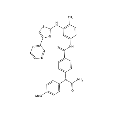 COc1ccc(N(C(N)=O)c2ccc(C(=O)Nc3ccc(C)c(Nc4nc(-c5cccnc5)cs4)c3)cc2)cc1